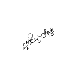 CC(NS(C)(=O)=O)c1ccc(C(C)C(=O)NCc2cc(C(F)(F)F)nn2C2CCCCC2)cc1F